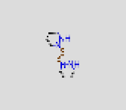 C1=CNN(SSN2C=CC=CN2)C=C1